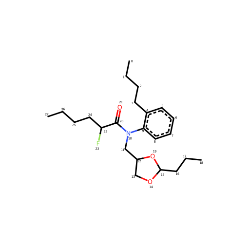 CCCCc1ccccc1N(CC1COC(CCC)O1)C(=O)C(F)CCCC